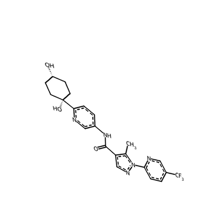 Cc1c(C(=O)Nc2ccc([C@]3(O)CC[C@@H](O)CC3)nc2)cnn1-c1ccc(C(F)(F)F)cn1